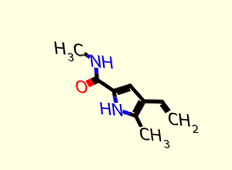 C=Cc1cc(C(=O)NC)[nH]c1C